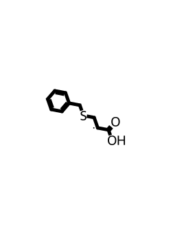 O=C(O)[CH]CSCc1ccccc1